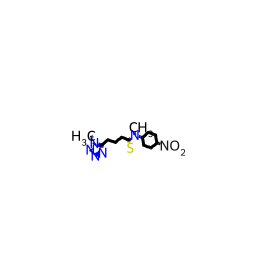 CN(C(=S)CCCc1nnnn1C)C1CCC([N+](=O)[O-])CC1